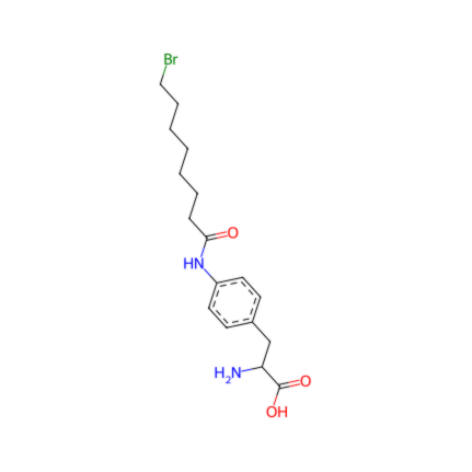 NC(Cc1ccc(NC(=O)CCCCCCCBr)cc1)C(=O)O